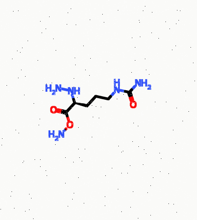 NN[C@@H](CCCNC(N)=O)C(=O)ON